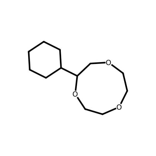 C1CCC(C2COCCOCCO2)CC1